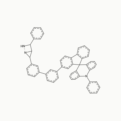 c1ccc(C2N[N@@]3C(c4cccc(-c5cccc(-c6ccc7c(c6)C6(c8ccccc8-7)c7ccccc7N(c7ccccc7)c7ccccc76)c5)c4)C23)cc1